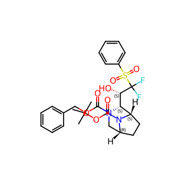 CC(C)(C)OC(=O)N1[C@@H]2CC[C@H]1[C@@H]([C@H](O)C(F)(F)S(=O)(=O)c1ccccc1)N(C(=O)OCc1ccccc1)C2